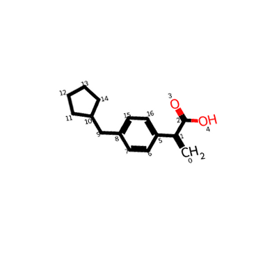 C=C(C(=O)O)c1ccc(CC2CCCC2)cc1